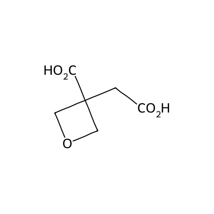 O=C(O)CC1(C(=O)O)COC1